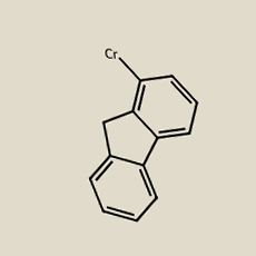 [Cr][c]1cccc2c1Cc1ccccc1-2